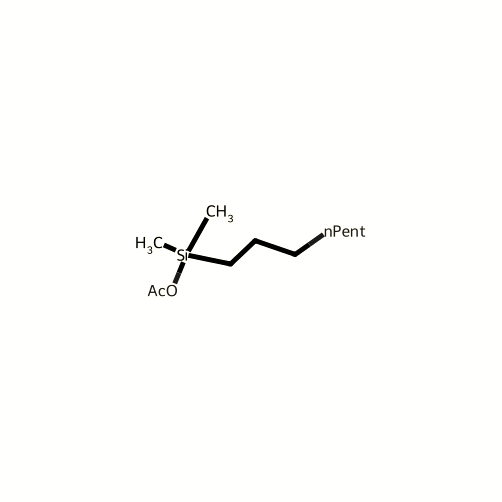 CCCCCCCC[Si](C)(C)OC(C)=O